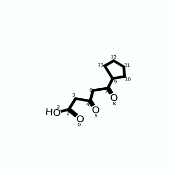 O=C(O)CC(=O)CC(=O)C1CCCC1